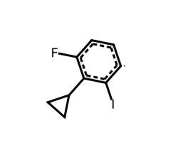 Fc1cc[c]c(I)c1C1CC1